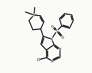 C[N+]1(C)C=CC(c2cc3c(Cl)ncnc3n2S(=O)(=O)c2ccccc2)CC1